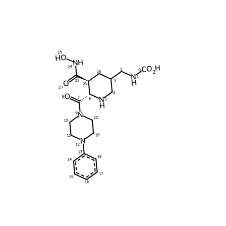 O=C(O)NCC1CN[C@H](C(=O)N2CCN(c3ccccc3)CC2)[C@@H](C(=O)NO)C1